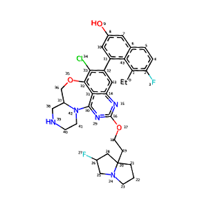 CCc1c(F)ccc2cc(O)cc(-c3cc4nc(OCCC56CCCN5CC(F)C6)nc5c4c(c3Cl)OCC3CNCCN53)c12